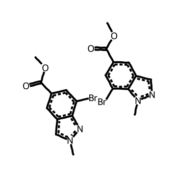 COC(=O)c1cc(Br)c2c(cnn2C)c1.COC(=O)c1cc(Br)c2nn(C)cc2c1